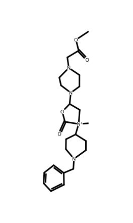 COC(=O)CN1CCN(C2C[N+](C)(C3CCN(Cc4ccccc4)CC3)C(=O)O2)CC1